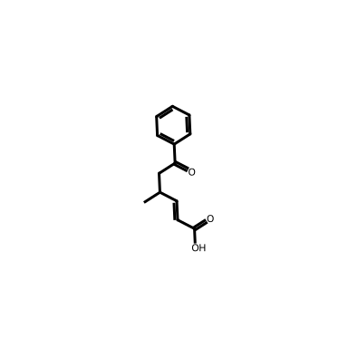 CC(/C=C/C(=O)O)CC(=O)c1ccccc1